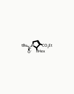 CCCCCCC1C(C(=O)OCC)=CCN1[S@+]([O-])C(C)(C)C